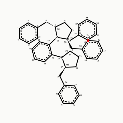 c1ccc(C[C@@H]2CC[C@@H](Cc3ccccc3)P2c2ccccc2P2[C@H](Cc3ccccc3)CC[C@H]2Cc2ccccc2)cc1